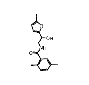 Cc1ccc(C)c(C(=O)NCC(O)c2ccc(C)o2)c1